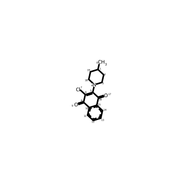 CC1CCN(C2=C(Cl)C(=O)c3ccccc3C2=O)CC1